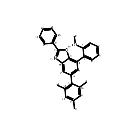 COc1ccccc1-c1cc(-c2c(C)cc(C)cc2C)cc2nc(-c3ccccc3)oc12